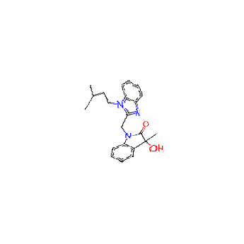 CC(C)CCn1c(CN2C(=O)C(C)(O)c3ccccc32)nc2ccccc21